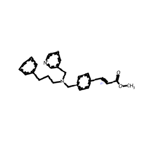 COC(=O)/C=C/c1ccc(CN(CCCc2ccccc2)Cc2cccnc2)cc1